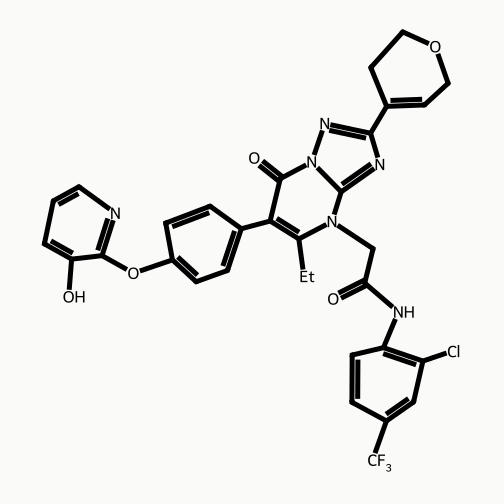 CCc1c(-c2ccc(Oc3ncccc3O)cc2)c(=O)n2nc(C3=CCOCC3)nc2n1CC(=O)Nc1ccc(C(F)(F)F)cc1Cl